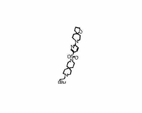 CC(C)(C)CCN1CCC2(CC1)CCN(S(=O)(=O)c1ccc(N3CCC4(CCCO4)CC3)nc1)CC2